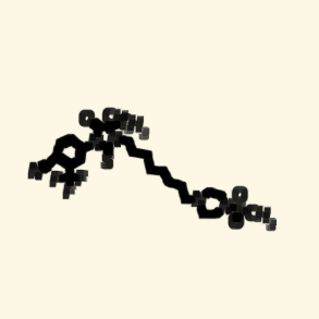 CC1(C)C(=O)N(c2ccc(C#N)c(C(F)(F)F)c2)C(=S)N1CCCCCCCCN1CCN(S(C)(=O)=O)CC1